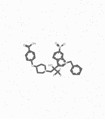 O=C(O)c1ccc(OC2CCN(CC(O)(c3cn(Cc4ccccc4)c4cc([N+](=O)[O-])ccc34)C(F)(F)F)CC2)cc1